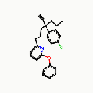 C#CC(CCC)(CCCc1cccc(Oc2ccccc2)n1)c1ccc(Cl)cc1